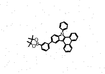 CC1(C)OB(c2cccc(-c3ccc4c(c3)c3c5ccccc5c5ccccc5c3n4-c3ccccc3)c2)OC1(C)C